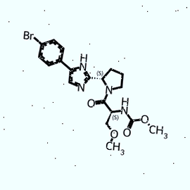 COC[C@H](NC(=O)OC)C(=O)N1CCC[C@H]1c1ncc(-c2ccc(Br)cc2)[nH]1